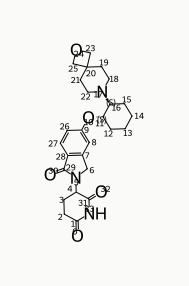 O=C1CCC(N2Cc3cc(O[C@H]4CCCC[C@@H]4N4CCC5(CC4)COC5)ccc3C2=O)C(=O)N1